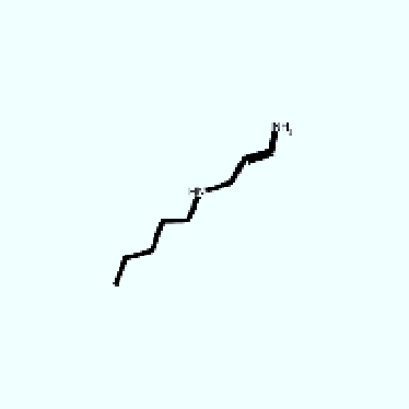 CCCCCNCC=CN